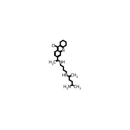 C=C(CCC(C)N)NCCCCNC(=C)c1ccc2c(Cl)c3c(nc2c1)CCCC3